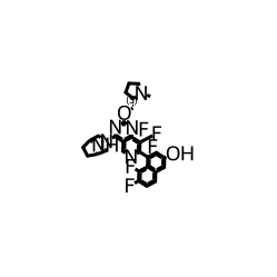 CN1CCC[C@H]1COc1nc(N2CC3CCC(C2)N3)c2cnc(-c3cc(O)cc4ccc(F)c(F)c34)c(C(F)(F)F)c2n1